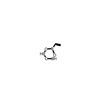 C=CB1OBOBO1